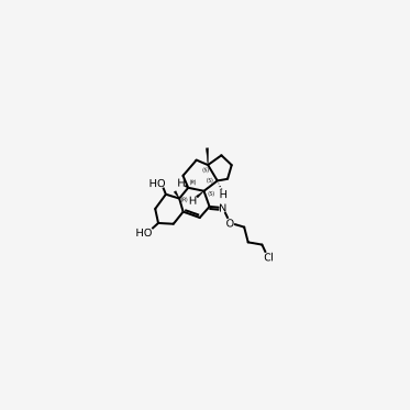 C[C@@]12CCC[C@H]1[C@@H]1C(=NOCCCCl)C=C3CC(O)CC(O)[C@]3(C)[C@@H]1CC2